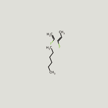 C=CF.CC=CF.CCCCCC